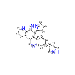 c1ccc(-c2nn3c(c2-c2ccnc4cc(-c5cc[nH]c5)ccc24)CCC3)nc1